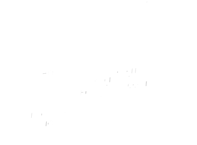 CCC(CO)(CO)CO.O=C(O)CCCCC(=O)O.O=C(O)c1ccccc1C(=O)O